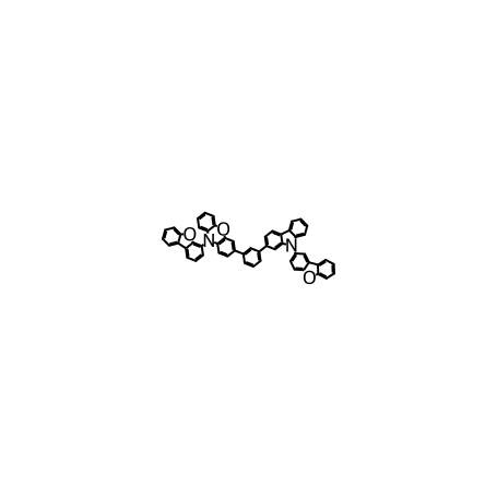 c1cc(-c2ccc3c(c2)Oc2ccccc2N3c2cccc3c2oc2ccccc23)cc(-c2ccc3c4ccccc4n(-c4ccc5oc6ccccc6c5c4)c3c2)c1